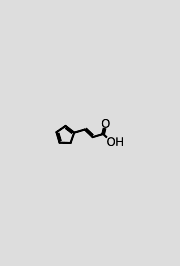 O=C(O)C=CC1=CC=CC1